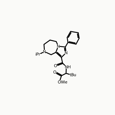 COC(=O)C(NC(=O)c1nc(-c2ccccc2)n2c1CN(C(C)C)CCC2)C(C)(C)C